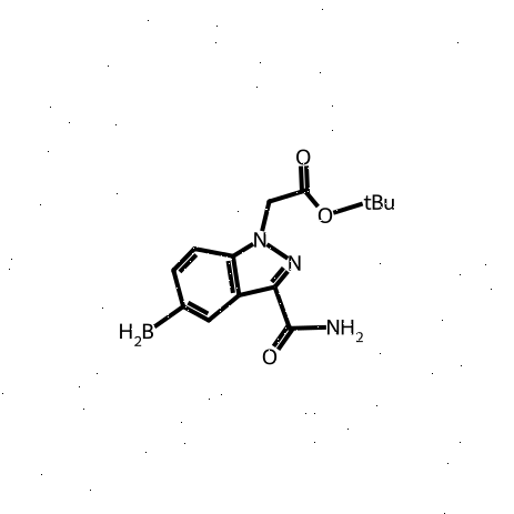 Bc1ccc2c(c1)c(C(N)=O)nn2CC(=O)OC(C)(C)C